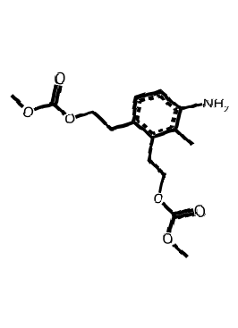 COC(=O)OCCc1ccc(N)c(C)c1CCOC(=O)OC